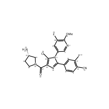 COc1ncc(-n2c(-c3ccc(C#N)c(F)c3)nc(C(=O)N3CC[C@H](N)C3)c2Cl)cc1F